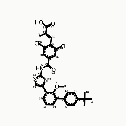 COc1c(-c2ccc(C(C)(C)C)cc2)cccc1-c1csc(NC(=O)c2cc(Cl)c(C=C(C)C(=O)O)c(Cl)c2)n1